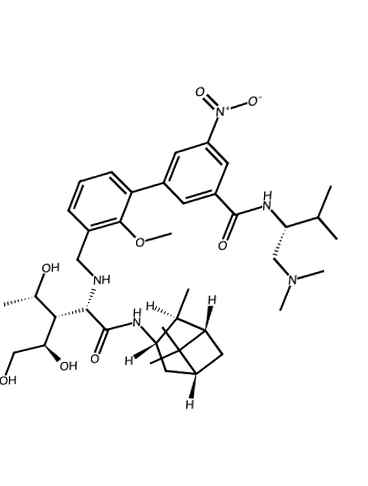 COc1c(CN[C@H](C(=O)N[C@H]2C[C@H]3C[C@@H]([C@@H]2C)C3(C)C)[C@@H]([C@H](C)O)[C@@H](O)CO)cccc1-c1cc(C(=O)N[C@@H](CN(C)C)C(C)C)cc([N+](=O)[O-])c1